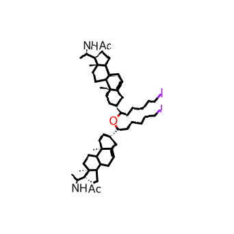 CC(=O)N[C@@H](C)[C@H]1CCC2C3CC=C4C[C@@H](C(CCCCCI)OC(CCCCCI)[C@H]5CC[C@@]6(C)C(=CCC7C6CC[C@@]6(C)C7CC[C@@H]6[C@H](C)NC(C)=O)C5)CC[C@]4(C)C3CC[C@@]21C